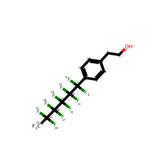 OCCc1ccc(C(F)(F)C(F)(F)C(F)(F)C(F)(F)C(F)(F)C(F)(F)F)cc1